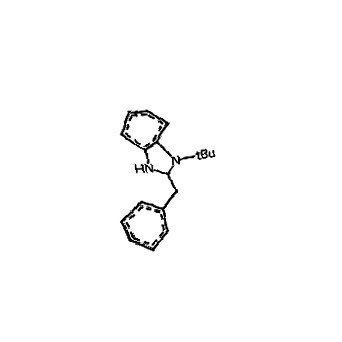 CC(C)(C)N1c2ccccc2NC1Cc1ccccc1